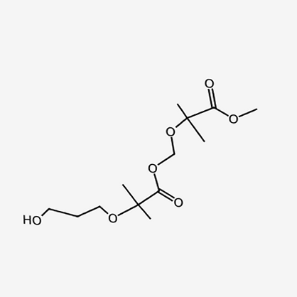 COC(=O)C(C)(C)OCOC(=O)C(C)(C)OCCCO